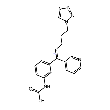 CC(=O)Nc1cccc(/C(=C/CCCn2cnnn2)c2cccnc2)c1